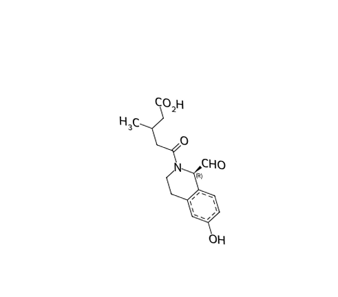 CC(CC(=O)O)CC(=O)N1CCc2cc(O)ccc2[C@@H]1C=O